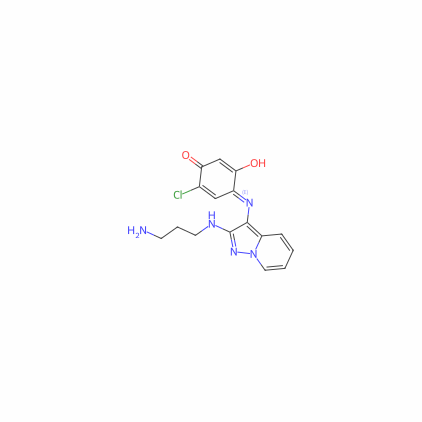 NCCCNc1nn2ccccc2c1/N=C1\C=C(Cl)C(=O)C=C1O